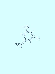 N#Cc1cc(F)cc(C2CO2)c1